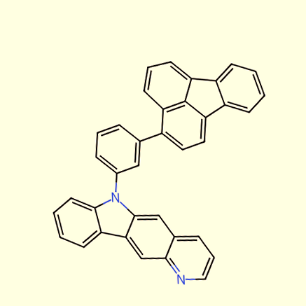 c1cc(-c2ccc3c4c(cccc24)-c2ccccc2-3)cc(-n2c3ccccc3c3cc4ncccc4cc32)c1